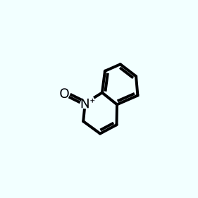 O=[N+]1CC=Cc2ccccc21